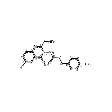 CC(C)Cc1nc2ccc(F)cc2c(=O)n1NC(=O)CCc1ccc(F)cc1